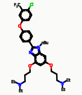 CCCCn1c(-c2ccc(Oc3ccc(Cl)c(C(F)(F)F)c3)cc2)nc2c(OCCCN(CC)CC)cc(OCCCN(CC)CC)cc21